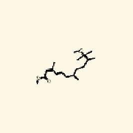 COC(=O)C=C(C)C=CCC(C)CCC(C)C(C)(C)OC